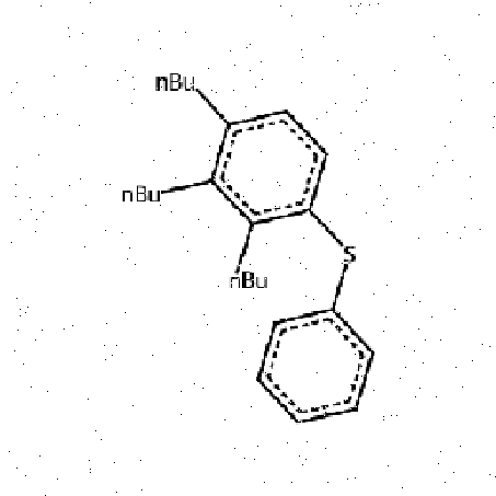 CCCCc1ccc(Sc2ccccc2)c(CCCC)c1CCCC